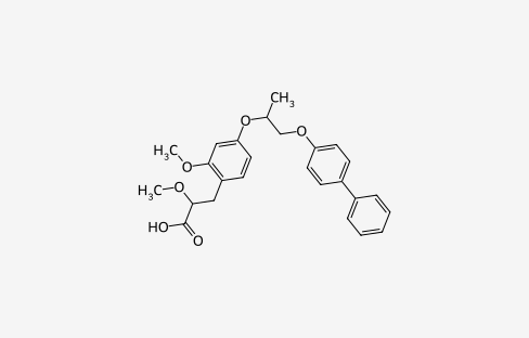 COc1cc(OC(C)COc2ccc(-c3ccccc3)cc2)ccc1CC(OC)C(=O)O